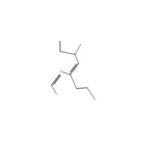 C/C=N\C(=C/C(C)CC)CCC